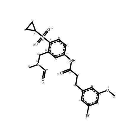 COc1cc(Br)cc(CCC(=O)Nc2ccc(S(=O)(=O)C3CC3)c(CN(C)C=O)c2)c1